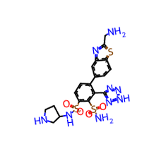 NCc1nc2cc(-c3ccc(S(=O)(=O)NC4CCNC4)c(S(N)(=O)=O)c3-c3nn[nH]n3)ccc2s1